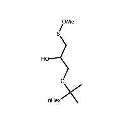 CCCCCCC(C)(C)OCC(O)CSOC